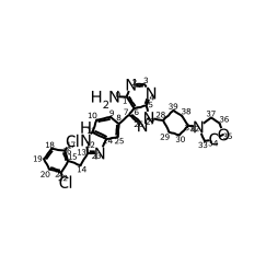 Nc1ncnc2c1c(-c1ccc3[nH]c(Cc4c(Cl)cccc4Cl)nc3c1)nn2C1CCC(N2CCOCC2)CC1